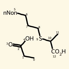 CCC(=O)O.CCCCCCCCCCCCSC(C)C(=O)O